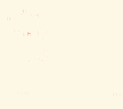 CCCCC/C=C\C/C=C\CCCCCCCCCCCC(=O)O[C@H](COC(=O)CCCCCCCCCCCCCCC)COP(=O)(O)OC1C(O)C(O)C(O)[C@@H](O)C1O